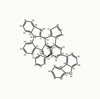 c1ccc(-c2nc(-c3ccccc3N3c4ccccc4-c4ccccc4-n4c3nc3ccccc34)nc(-c3cccc4oc5ccccc5c34)n2)cc1